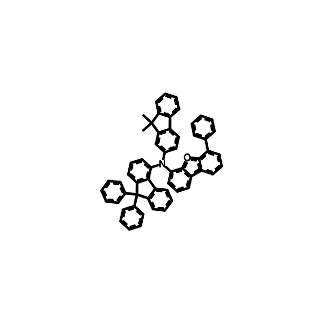 CC1(C)c2ccccc2-c2ccc(N(c3cccc4c3-c3ccccc3C4(c3ccccc3)c3ccccc3)c3cccc4c3oc3c(-c5ccccc5)cccc34)cc21